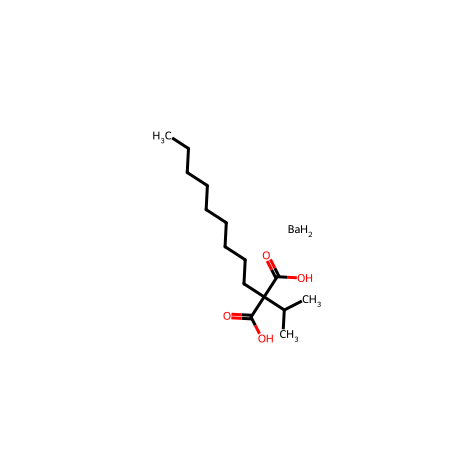 CCCCCCCCCC(C(=O)O)(C(=O)O)C(C)C.[BaH2]